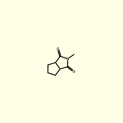 CN1C(=O)C2CCCC2C1=O